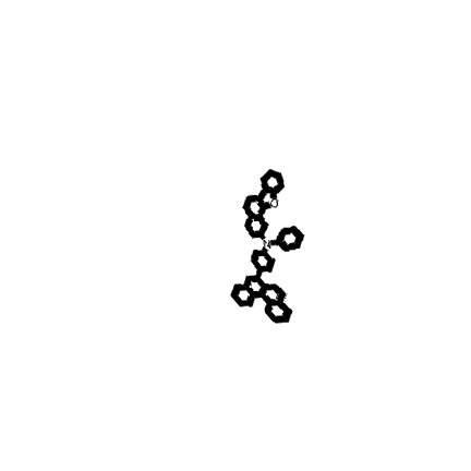 c1ccc(N(c2ccc(-c3cc4ccccc4c4c3ccc3ccccc34)cc2)c2ccc3ccc4c5ccccc5oc4c3c2)cc1